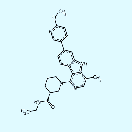 CCNC(=O)[C@H]1CCCN(c2ncc(C)c3[nH]c4cc(-c5ccc(OC)nc5)ccc4c23)C1